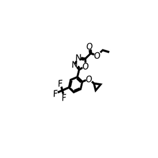 CCOC(=O)c1nnc(-c2cc(C(F)(F)F)ccc2OC2CC2)o1